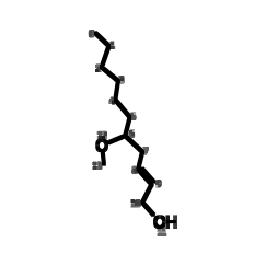 CCCCCCC(CC=CCO)OC